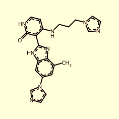 Cc1cc(-n2ccnc2)cc2[nH]c(-c3c(NCCCn4ccnc4)cc[nH]c3=O)nc12